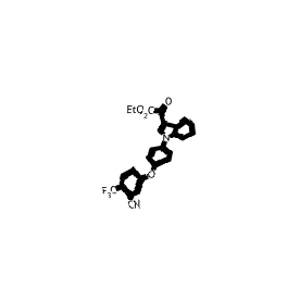 CCOC(=O)C(=O)c1cn(-c2ccc(Oc3ccc(C(F)(F)F)c(C#N)c3)cc2)c2ccccc12